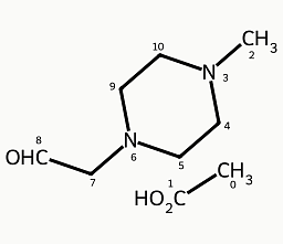 CC(=O)O.CN1CCN(CC=O)CC1